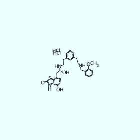 COc1ccccc1CNCCc1cccc(CCNC(O)Cc2ccc(O)c3[nH]c(=O)sc23)c1.Cl.Cl